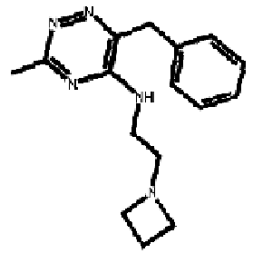 Cc1nnc(Cc2ccccc2)c(NCCN2CCC2)n1